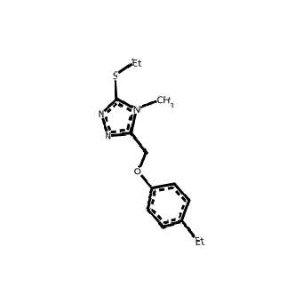 CCSc1nnc(COc2ccc(CC)cc2)n1C